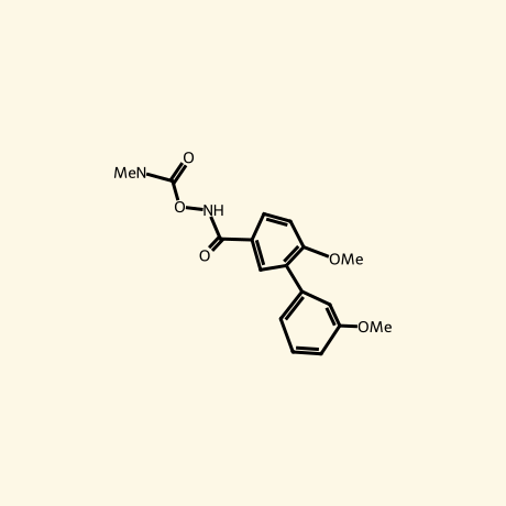 CNC(=O)ONC(=O)c1ccc(OC)c(-c2cccc(OC)c2)c1